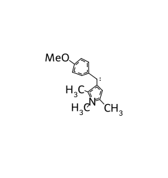 COc1ccc([C]c2cc(C)n(C)c2C)cc1